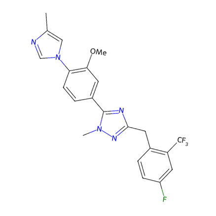 COc1cc(-c2nc(Cc3ccc(F)cc3C(F)(F)F)nn2C)ccc1-n1cnc(C)c1